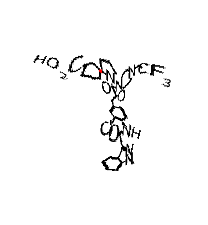 Cn1nc(C(=O)Nc2ccc(CC(=O)C(OC3CCC(C(=O)O)CC3)(N3CCCC3)N3CCN(CC(F)(F)F)CC3)cc2Cl)c2ccccc21